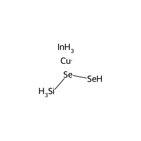 [Cu].[InH3].[SiH3][Se][SeH]